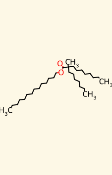 CCCCCCCCCCCCCCOC(=O)C(C)(CCCCCCC)CCCCCCCC